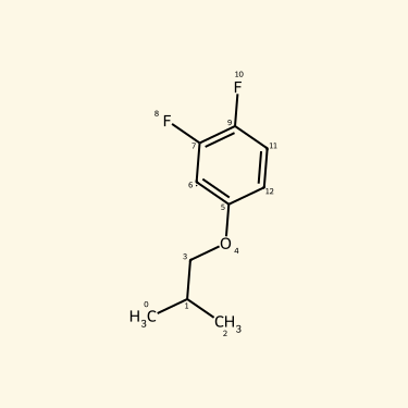 CC(C)COc1[c]c(F)c(F)cc1